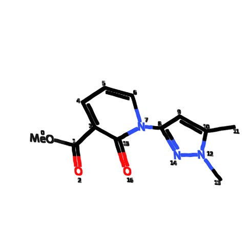 COC(=O)c1cccn(-c2cc(C)n(C)n2)c1=O